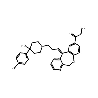 CCCOC(=O)c1ccc2c(c1)/C(=C/CCN1CCC(O)(c3ccc(Cl)cc3)CC1)c1cccnc1CO2